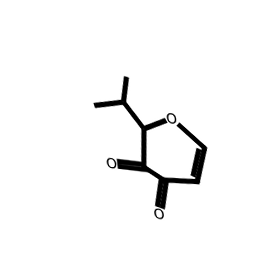 CC(C)C1OC=CC(=O)C1=O